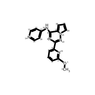 COc1cccc(-c2nc(Nc3ccncc3)c3cccn3n2)n1